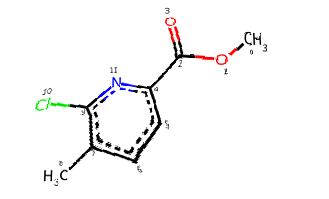 COC(=O)c1ccc(C)c(Cl)n1